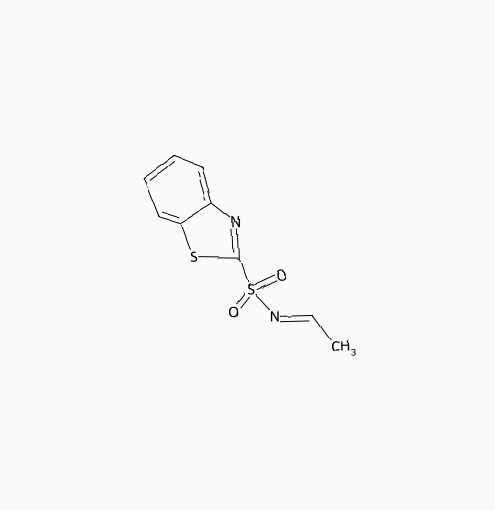 CC=NS(=O)(=O)c1nc2ccccc2s1